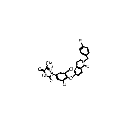 Cc1nn(-c2cc(Cl)c(Oc3ccc4c(c3)CCN(Cc3ccc(F)cc3)C4=O)c(Cl)c2)c(=O)[nH]c1=O